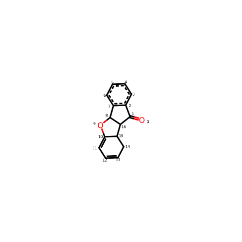 O=C1c2ccccc2C2OC3=CC=CCC3C12